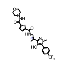 C/C(=N\NC(=O)c1ccc(C(=O)NN2CCOCC2)s1)c1nn(C)c(-c2ccc(C(F)(F)F)cc2)c1O